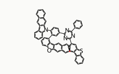 c1ccc(-c2nc(-c3ccc(-n4c5ccccc5c5cc6ccccc6cc54)c(-c4cccc5oc6cc7ccccc7cc6c45)c3)nc(-c3ccc4c(c3)sc3ccccc34)n2)cc1